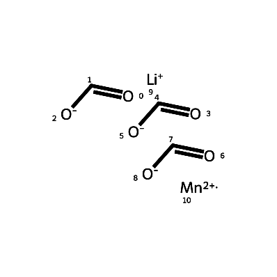 O=C[O-].O=C[O-].O=C[O-].[Li+].[Mn+2]